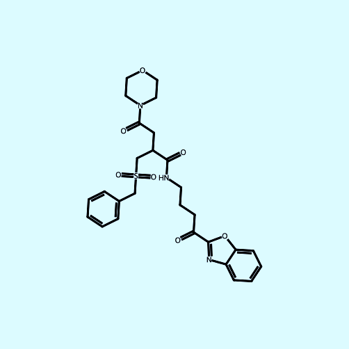 O=C(CCCNC(=O)C(CC(=O)N1CCOCC1)CS(=O)(=O)Cc1ccccc1)c1nc2ccccc2o1